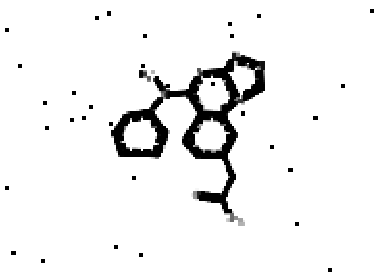 CC(=O)Cc1ccc2c(N(C)c3ccccc3)nc3nncn3c2c1